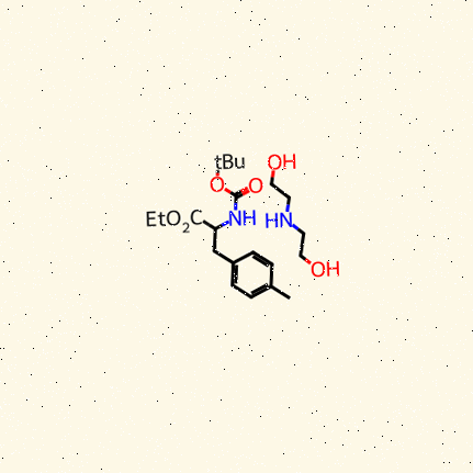 CCOC(=O)C(Cc1ccc(C)cc1)NC(=O)OC(C)(C)C.OCCNCCO